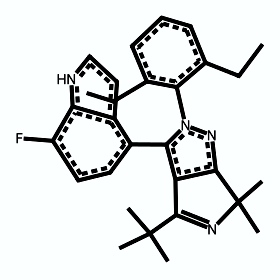 CCc1cccc(CC)c1-n1nc2c(c1-c1ccc(F)c3[nH]ccc13)C(C(C)(C)C)=NC2(C)C